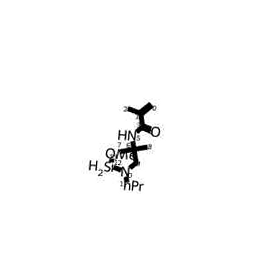 C=C(C)C(=O)NC(C)(C)CN(CCC)[SiH2]OC